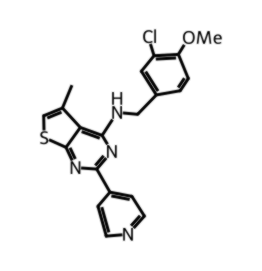 COc1ccc(CNc2nc(-c3ccncc3)nc3scc(C)c23)cc1Cl